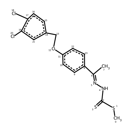 CSC(=S)N/N=C(\C)c1ccc(OCc2ccc(Cl)c(Cl)c2)cc1